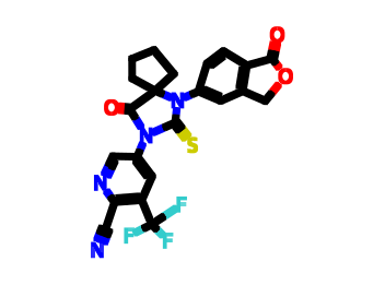 N#Cc1ncc(N2C(=O)C3(CCCC3)N(c3ccc4c(c3)COC4=O)C2=S)cc1C(F)(F)F